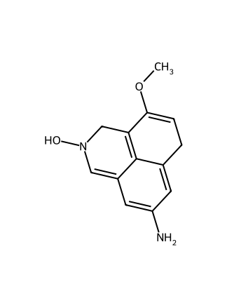 COC1=CCc2cc(N)cc3c2=C1CN(O)C=3